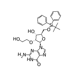 CC(C)(C)[Si](OC[C@H]1O[C@@H](n2cnc3c(=O)[nH]c(N)nc32)[C@H](OCCO)[C@@H]1O)(c1ccccc1)c1ccccc1